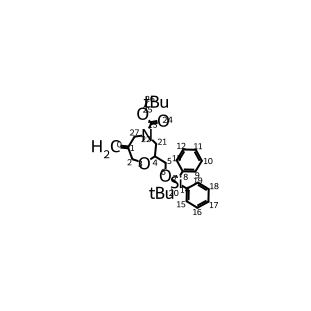 C=C1COC(CO[Si](c2ccccc2)(c2ccccc2)C(C)(C)C)CN(C(=O)OC(C)(C)C)C1